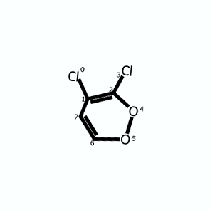 ClC1=C(Cl)OOC=C1